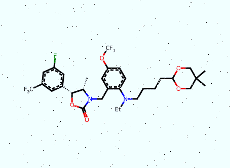 CCN(CCCCC1OCC(C)(C)CO1)c1ccc(OC(F)(F)F)cc1CN1C(=O)O[C@H](c2cc(F)cc(C(F)(F)F)c2)[C@@H]1C